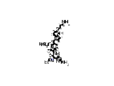 CCO/N=C(\C(=O)N[C@@H]1C(=O)N2C(C(=O)O)=C(CN3C=CN4NC(SCCCN)=CC=C34)CS[C@@H]12)c1csc(N)n1.Cl